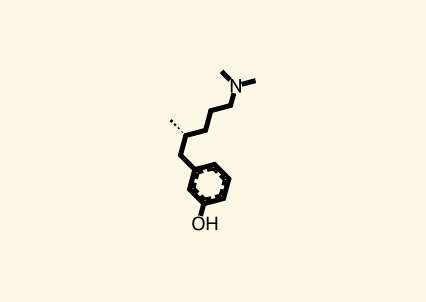 C[C@H](CCCN(C)C)Cc1cccc(O)c1